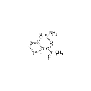 CC(Cl)Oc1ccccc1OC(N)=O